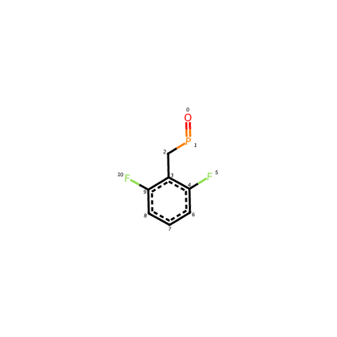 O=PCc1c(F)cccc1F